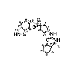 C[C@@H](NC(=O)Nc1ccc(S(=O)(=O)Cc2ccc3c(c2)CNC3)cc1)c1ccccc1